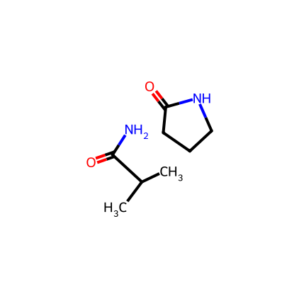 CC(C)C(N)=O.O=C1CCCN1